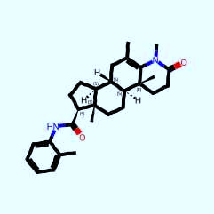 CC1=C2N(C)C(=O)CC[C@]2(C)[C@H]2CC[C@]3(C)[C@@H](C(=O)Nc4ccccc4C)CC[C@H]3[C@@H]2C1